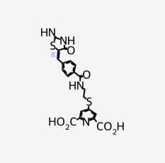 N=C1NC(=O)/C(=C\c2ccc(C(=O)NCCSc3cc(C(=O)O)nc(C(=O)O)c3)cc2)S1